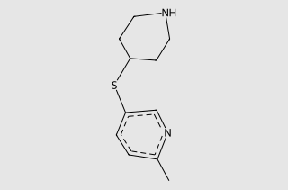 Cc1ccc(SC2CCNCC2)cn1